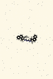 CN1/C(=C/C=C/C=C/C2=[N+](C(C)(C)C)c3ccc4ccccc4c3C2(C)C)C(C)(C)c2c1ccc1ccccc21